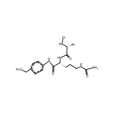 CCN[C@@H](C(=O)N[C@H](CCCNC(N)=O)C(=O)Nc1ccc(COC(C)=O)cc1)C(C)C